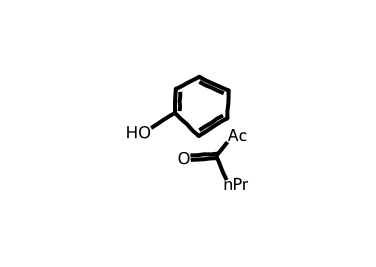 CCCC(=O)C(C)=O.Oc1ccccc1